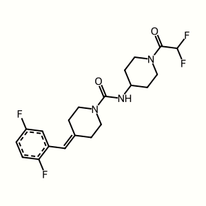 O=C(NC1CCN(C(=O)C(F)F)CC1)N1CCC(=Cc2cc(F)ccc2F)CC1